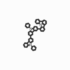 c1ccc(-n2c3ccccc3c3cc(-c4ccc5c(c4)c4cc(-c6cccc7c8cccc9c%10ccccc%10n(c67)c98)ccc4n5-c4ccccc4)ccc32)cc1